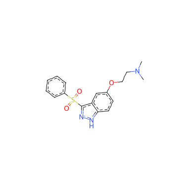 CN(C)CCOc1ccc2[nH]nc(S(=O)(=O)c3ccccc3)c2c1